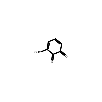 O=CC1=CC=CC(=O)C1=O